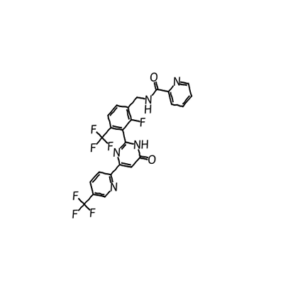 O=C(NCc1ccc(C(F)(F)F)c(-c2nc(-c3ccc(C(F)(F)F)cn3)cc(=O)[nH]2)c1F)c1ccccn1